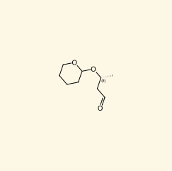 C[C@H](CC=O)OC1CCCCO1